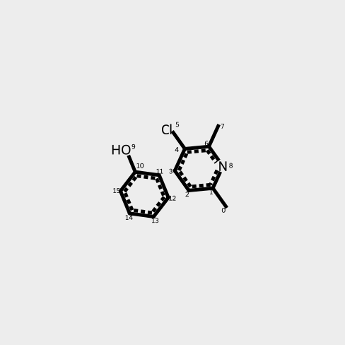 Cc1ccc(Cl)c(C)n1.Oc1ccccc1